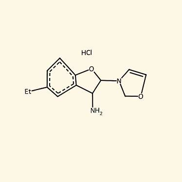 CCc1ccc2c(c1)C(N)C(N1C=COC1)O2.Cl